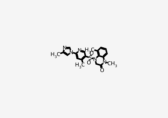 Cc1cn(-c2cc(C)c(S(=O)(=O)N3CC(=O)N(C)c4cccc(C)c43)cn2)cn1